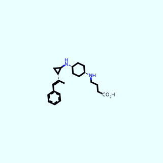 C/C(=C\c1ccccc1)[C@@H]1CC1N[C@H]1CC[C@@H](NCCCC(=O)O)CC1